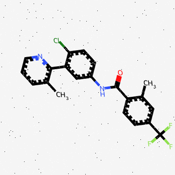 Cc1cc(C(F)(F)F)ccc1C(=O)Nc1ccc(Cl)c(-c2ncccc2C)c1